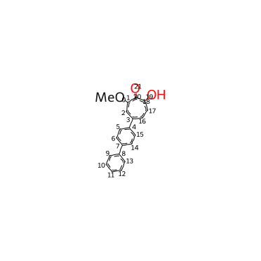 COc1cc(-c2ccc(-c3ccccc3)cc2)ccc(O)c1=O